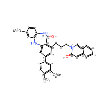 COc1ccc2c(c1)Nc1cc(-c3ccc([N+](=O)[O-])c(OC)c3)cc(CCCn3cc4ccccc4cc3=O)c1C(=O)N2